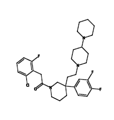 O=C(Cc1c(F)cccc1Cl)N1CCCC(CCN2CCC(N3CCCCC3)CC2)(c2ccc(F)c(F)c2)C1